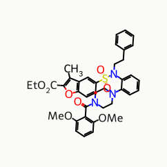 CCOC(=O)c1oc2ccc(S(=O)(=O)N(CCc3ccccc3)c3ccccc3N3CCN(C(=O)c4c(OC)cccc4OC)CC3)cc2c1C